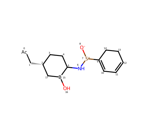 CC(=O)C[C@@H]1CCC(N[S+]([O-])C2=CC=CCC2)B(O)C1